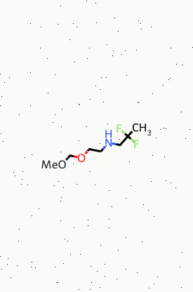 COCOCCNCC(C)(F)F